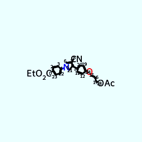 CCOC(=O)c1ccc(N2C=C(C#N)C(c3ccc(OCCCOC(C)=O)cc3)C2)cc1